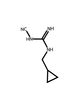 N#CNC(=N)NCC1CC1